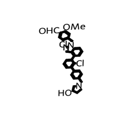 COc1cc(Cn2ncc3c(-c4cccc(-c5ccc(CN6CC[C@H](O)C6)cc5)c4Cl)cccc32)c(Cl)cc1C=O